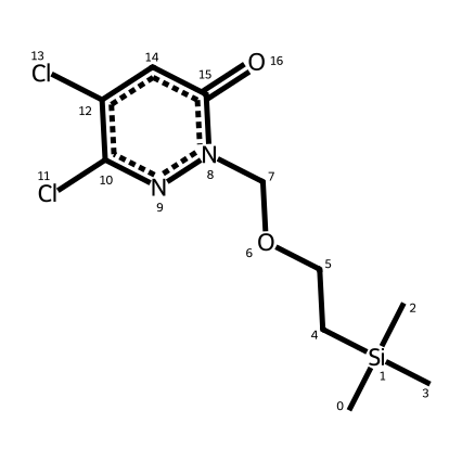 C[Si](C)(C)CCOCn1nc(Cl)c(Cl)cc1=O